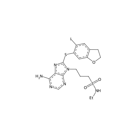 CCNS(=O)(=O)CCCn1c(Sc2cc3c(cc2I)CCO3)nc2c(N)ncnc21